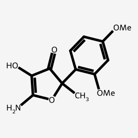 COc1ccc(C2(C)OC(N)=C(O)C2=O)c(OC)c1